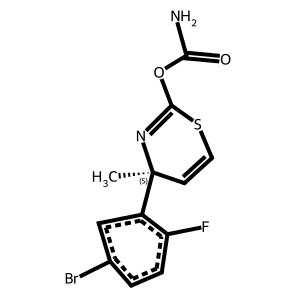 C[C@@]1(c2cc(Br)ccc2F)C=CSC(OC(N)=O)=N1